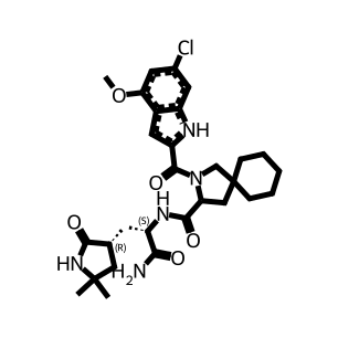 COc1cc(Cl)cc2[nH]c(C(=O)N3CC4(CCCCC4)CC3C(=O)N[C@@H](C[C@@H]3CC(C)(C)NC3=O)C(N)=O)cc12